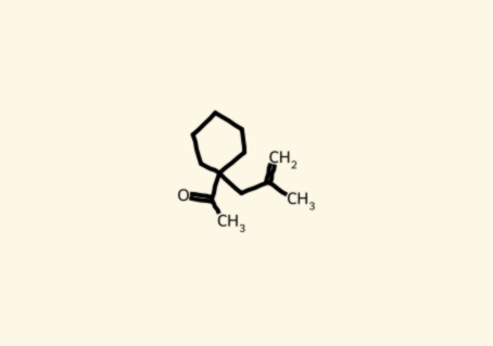 C=C(C)CC1(C(C)=O)CCCCC1